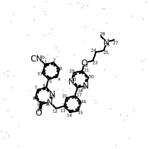 [C-]#[N+]c1cccc(-c2ccc(=O)n(Cc3cccc(-c4ncc(OCCCN(C)C)cn4)c3)n2)c1